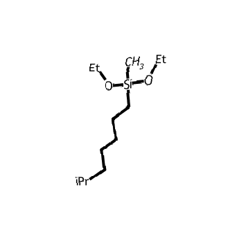 CCO[Si](C)(CCCCCC(C)C)OCC